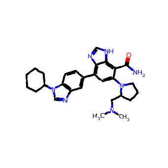 CN(C)CC1CCCN1c1cc(-c2ccc3c(c2)ncn3C2CCCCC2)c2nc[nH]c2c1C(N)=O